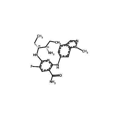 CC[C@H](N)[C@@H](CC)Nc1nc(Nc2ccc3cnn(C)c3c2)c(C(N)=O)cc1F